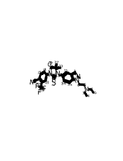 CCN(CC)CCn1ncc2cc(N3C(=S)N(c4ccc(C#N)c(C(F)(F)F)c4)C(=O)C3(C)C)ccc21